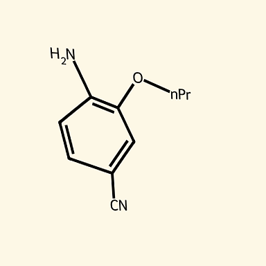 CCCOc1cc(C#N)ccc1N